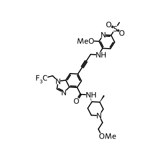 COCCN1CC[C@H](NC(=O)c2cc(C#CCNc3ccc(S(C)(=O)=O)nc3OC)cc3c2ncn3CC(F)(F)F)[C@@H](C)C1